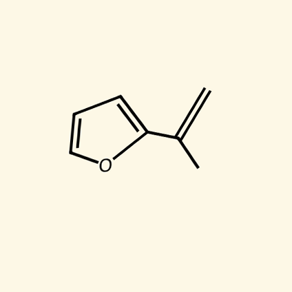 C=C(C)c1ccco1